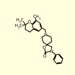 Cc1cc(CN2CCC3(CC2)CN(c2ccccc2)C(=O)O3)cc2c1OC(C)(C)CC2